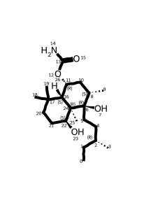 CC[C@@H](C)CC[C@@]1(O)[C@@H](C)C[C@@H](OC(N)=O)[C@H]2C(C)(C)CC[C@H](O)[C@@]21C